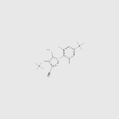 COc1c(SC(F)(F)F)c(C#N)nn1-c1c(Cl)cc(C(F)(F)F)cc1Cl